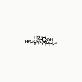 CCCCCCCCCCCCCCO.O=C(O)c1ccc(O)cc1